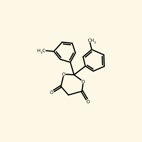 Cc1cccc(C2(c3cccc(C)c3)OC(=O)CC(=O)O2)c1